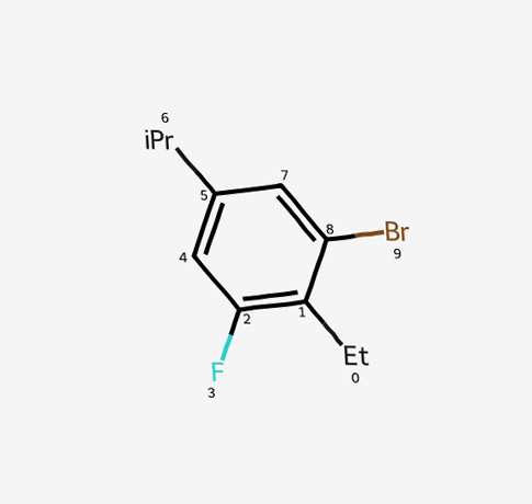 CCc1c(F)cc(C(C)C)cc1Br